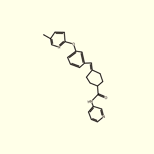 Cc1ccc(Oc2cccc(C=C3CCC(C(=O)Nc4cccnc4)CC3)c2)nc1